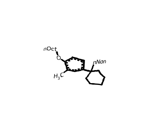 CCCCCCCCCC1(c2ccc(OCCCCCCCC)c(C)c2)CCCCC1